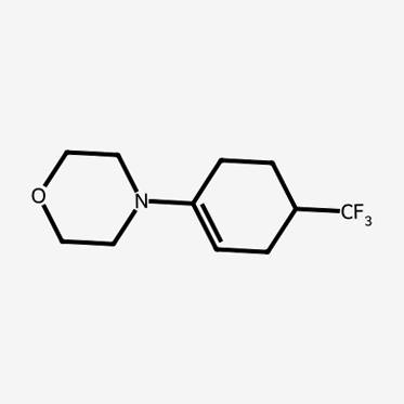 FC(F)(F)C1CC=C(N2CCOCC2)CC1